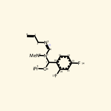 C=CC/N=C\N(NC)C(OC(C)C)c1ccc(F)cc1F